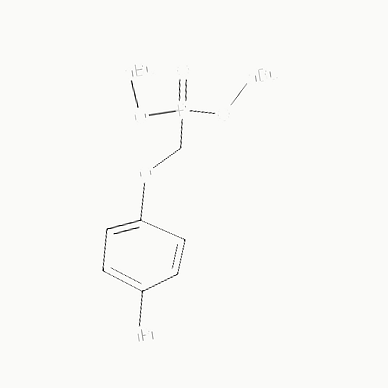 CCCCOP(=O)(COc1ccc(C(C)C)cc1)OCCCC